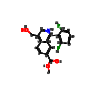 COC(=O)c1ccc2c(CO)cnc(-c3c(F)cccc3F)c2c1